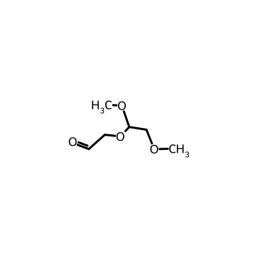 COCC(OC)OCC=O